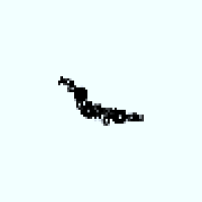 CC(=O)COc1cccc(Oc2ccc3nc(NC(=O)c4ccc(C(C)(C)C)cc4)cn3n2)c1